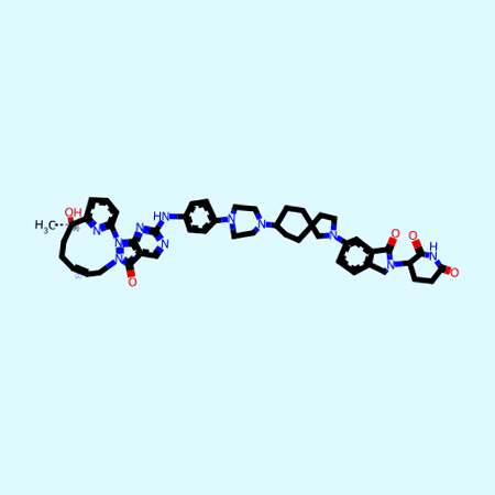 C[C@@]1(O)CC/C=C\Cn2c(=O)c3cnc(Nc4ccc(N5CCN(C6CCC7(CC6)CCN(c6ccc8c(c6)C(=O)N(C6CCC(=O)NC6=O)C8)C7)CC5)cc4)nc3n2-c2cccc1n2